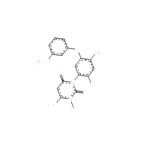 COc1cccc(Oc2cc(-n3c(=O)cc(C(F)(F)F)n(C)c3=O)c(F)cc2N)c1